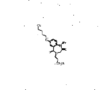 CCOC(=O)CCN1CC(=O)N(C(C)C)c2ccc(OCCCCC#N)cc2C1=O